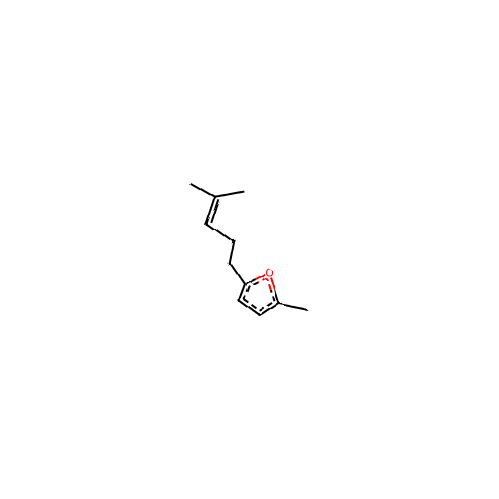 CC(C)=CCCc1ccc(C)o1